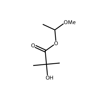 COC(C)OC(=O)C(C)(C)O